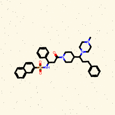 CN1CCN(C(CCc2ccccc2)C2CCN(C(=O)CC(NS(=O)(=O)c3ccc4ccccc4c3)c3ccccc3)CC2)CC1